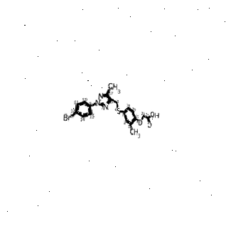 Cc1cc(SCc2nn(-c3ccc(Br)cc3)nc2C)ccc1OCC(=O)O